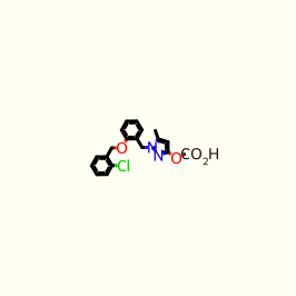 Cc1cc(OC(=O)O)nn1Cc1ccccc1OCc1ccccc1Cl